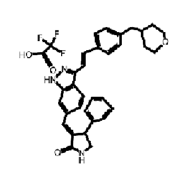 O=C(O)C(F)(F)F.O=C1NCC(c2ccccc2)/C1=C\c1ccc2c(/C=C/c3ccc(CC4CCOCC4)cc3)n[nH]c2c1